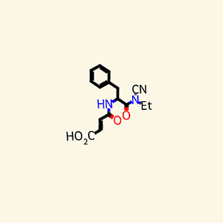 CCN(C#N)C(=O)C(Cc1ccccc1)NC(=O)C=CC(=O)O